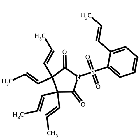 CC=Cc1ccccc1S(=O)(=O)N1C(=O)C(C=CC)(C=CC)C(C=CC)(C=CC)C1=O